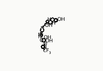 C[C@]12CC[C@@H]3c4ccc(O)cc4CC[C@H]3[C@@H]1CC[C@@]2(O)CCCN1CCC(n2cc([C@H]3OC[C@H](Oc4cccc(C(F)(F)F)n4)[C@@H](O)[C@H]3O)nn2)CC1